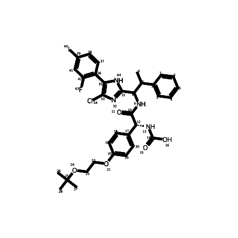 CC(c1ccccc1)C(NC(=O)[C@H](NC(=O)O)c1ccc(OCCOC(C)(C)C)cc1)c1nc(Cl)c(-c2ccc(I)cc2F)[nH]1